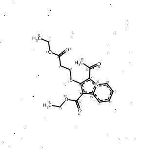 CCOC(=O)CCSc1c(C(=O)OCC)c2ccccn2c1C(C)=O